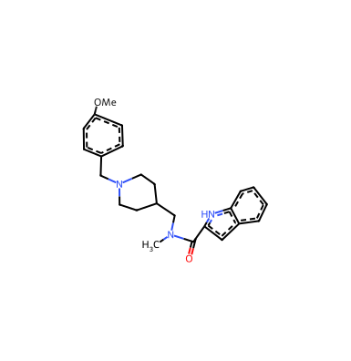 COc1ccc(CN2CCC(CN(C)C(=O)c3cc4ccccc4[nH]3)CC2)cc1